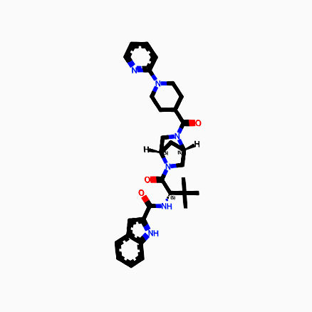 CC(C)(C)[C@H](NC(=O)c1cc2ccccc2[nH]1)C(=O)N1C[C@@H]2C[C@H]1CN2C(=O)C1CCN(c2ccccn2)CC1